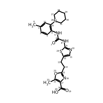 Cc1ccc(NC(=O)Nc2ncc(CCc3nc(C(=O)O)c(C)o3)s2)c(N2CCCCC2)c1